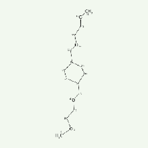 COCCOCC1CCC(COCCOC)CC1